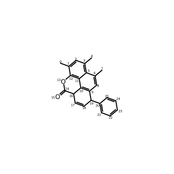 Cc1cc(C)c2c(C)cc3c4c2c1OC(=O)C4C=CC3c1ccccc1